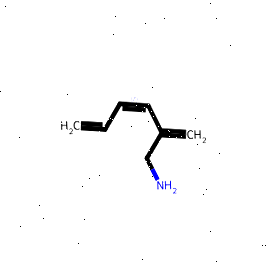 C=C/C=C\C(=C)CN